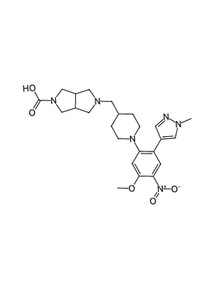 COc1cc(N2CCC(CN3CC4CN(C(=O)O)CC4C3)CC2)c(-c2cnn(C)c2)cc1[N+](=O)[O-]